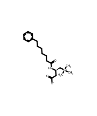 C[N+](C)(C)C[C@@H](CC(=O)[O-])NC(=O)CCCCCCc1ccccc1